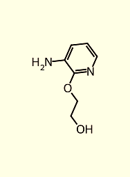 Nc1cccnc1OCCO